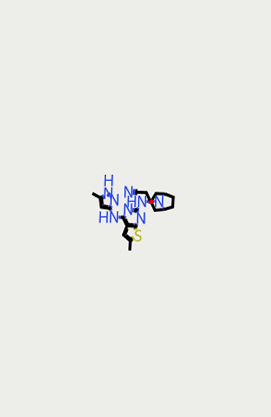 Cc1cc(Nc2nc(NC3CC4CCC(C3)N4CCC#N)nc3sc(C)cc23)n[nH]1